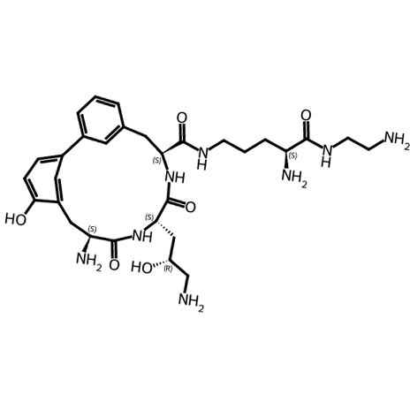 NCCNC(=O)[C@@H](N)CCCNC(=O)[C@@H]1Cc2cccc(c2)-c2ccc(O)c(c2)C[C@H](N)C(=O)N[C@@H](C[C@@H](O)CN)C(=O)N1